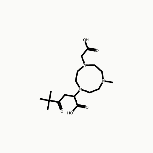 CN1CCN(CC(=O)O)CCN(C(CC(=O)C(C)(C)C)C(=O)O)CC1